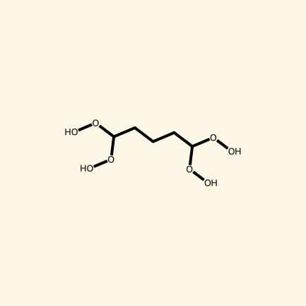 OOC(CCCC(OO)OO)OO